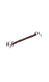 CC1CC2C1C1C2C2C1C1C2C2C1C1C2C2C1C1C2C2C1C1C2C2C1C1C2C2C1C1C2C2C1C1C2C2C1C1C2C2C1C1C2C2C1C2(C)C(C)I